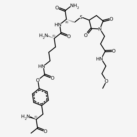 COCCNC(=O)CCN1C(=O)CC(SC[C@H](NC(=O)[C@@H](N)CCCNC(=O)Oc2ccc(C[C@H](N)C(C)=O)cc2)C(N)=O)C1=O